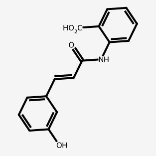 O=C(C=Cc1cccc(O)c1)Nc1ccccc1C(=O)O